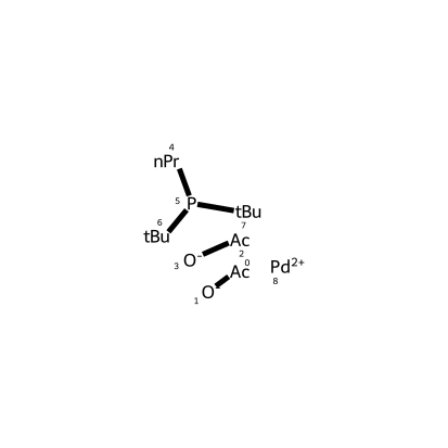 CC(=O)[O-].CC(=O)[O-].CCCP(C(C)(C)C)C(C)(C)C.[Pd+2]